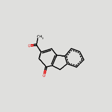 CC(=O)C1=CC2=C(Cc3ccccc32)C(=O)C1